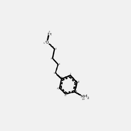 CCOCCCCc1ccc(N)cc1